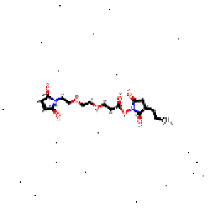 CCCC1CC(=O)N(OC(=O)CCOCCOCCN2C(=O)C=CC2=O)C1=O